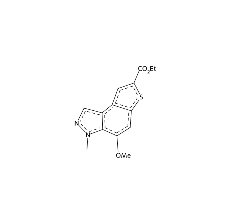 CCOC(=O)c1cc2c(cc(OC)c3c2cnn3C)s1